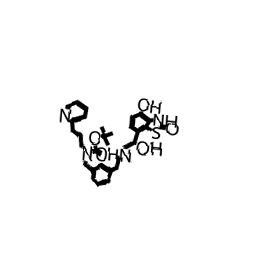 CC(C)(C)OC(=O)N(CCCc1ccccn1)Cc1cccc(CCNC[C@H](O)c2ccc(O)c3[nH]c(=O)sc23)c1